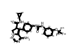 NC1=NC=NN2CC(C(=O)NC3CC3)C(c3ccc(NC(=O)Nc4cccc(OC(F)(F)F)c4)cc3)=C12